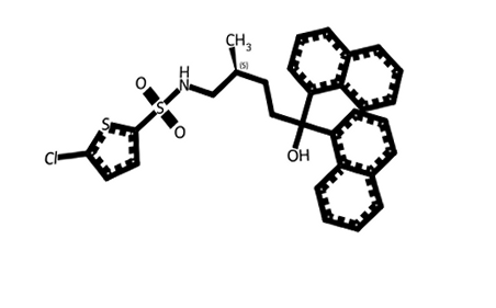 C[C@@H](CCC(O)(c1cccc2ccccc12)c1cccc2ccccc12)CNS(=O)(=O)c1ccc(Cl)s1